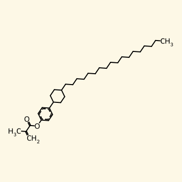 C=C(C)C(=O)Oc1ccc(C2CCC(CCCCCCCCCCCCCCCCCC)CC2)cc1